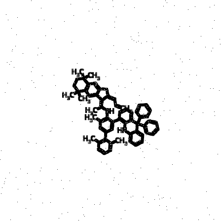 C=C/C=C1/Cc2cc3c(cc2/C1=C(\C)Bc1c(C)cc(-c2c(C)cccc2C)cc1-c1cccc2c1Nc1ccccc1C2(c1ccccc1)c1ccccc1)C(C)(C)CCC3(C)C